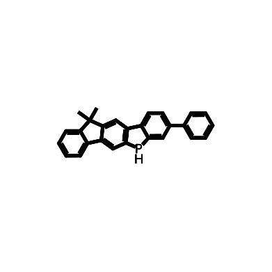 CC1(C)c2ccccc2-c2cc3[pH]c4cc(-c5ccccc5)ccc4c3cc21